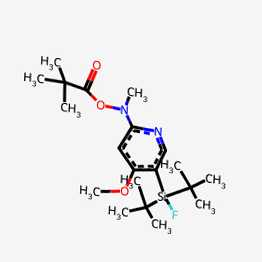 COc1cc(N(C)OC(=O)C(C)(C)C)ncc1[Si](F)(C(C)(C)C)C(C)(C)C